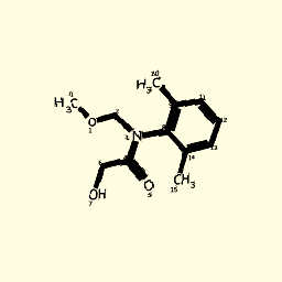 COCN(C(=O)CO)c1c(C)cccc1C